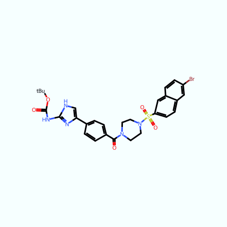 CC(C)(C)OC(=O)Nc1nc(-c2ccc(C(=O)N3CCN(S(=O)(=O)c4ccc5cc(Br)ccc5c4)CC3)cc2)c[nH]1